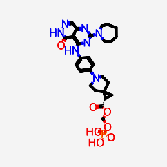 O=C(OCOP(=O)(O)O)[C@H]1CC12CCN(c1ccc(Nc3nc(N4CCCCCC4)nc4cn[nH]c(=O)c34)cc1)CC2